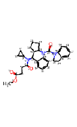 COC(=O)CCC(=O)N(C1CC1)C1c2ccccc2N(C(=O)N2CCc3ccccc32)C2CCCC21